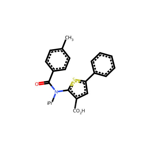 Cc1ccc(C(=O)N(c2sc(-c3ccccc3)cc2C(=O)O)C(C)C)cc1